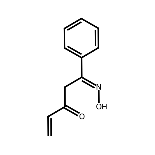 C=CC(=O)CC(=NO)c1ccccc1